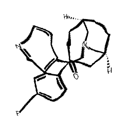 O=C(c1ccncc1)N1[C@@H]2CC[C@H]1C[C@@H](c1ccc(F)cc1)C2